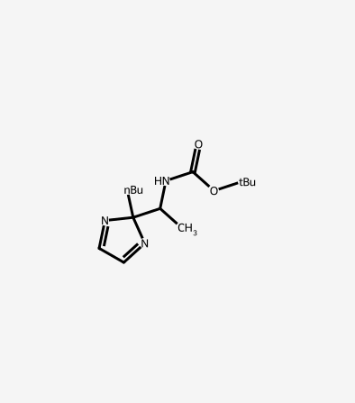 CCCCC1(C(C)NC(=O)OC(C)(C)C)N=CC=N1